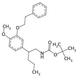 CCCC(CNC(=O)OC(C)(C)C)c1ccc(OC)c(OCCc2ccccc2)c1